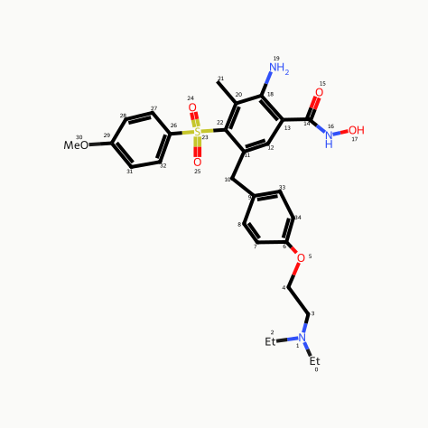 CCN(CC)CCOc1ccc(Cc2cc(C(=O)NO)c(N)c(C)c2S(=O)(=O)c2ccc(OC)cc2)cc1